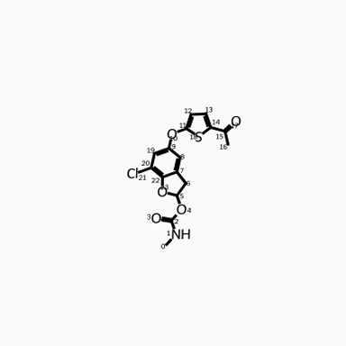 CNC(=O)OC1Cc2cc(Oc3ccc(C(C)=O)s3)cc(Cl)c2O1